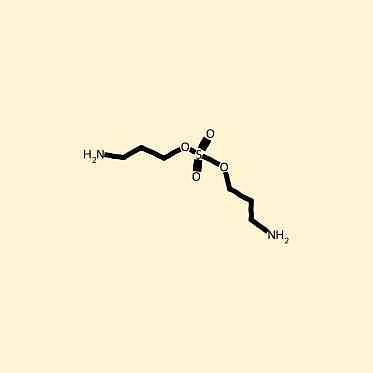 NCCCOS(=O)(=O)OCCCN